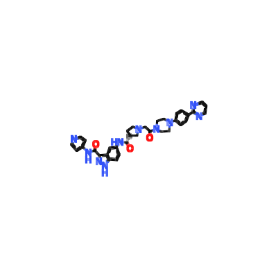 O=C(Nc1ccncc1)c1n[nH]c2ccc(NC(=O)[C@@H]3CCN(CC(=O)N4CCN(c5ccc(-c6ncccn6)cc5)CC4)C3)cc12